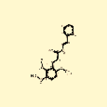 COc1ccc(OC)c(OC)c1CCC(=O)OC=Cc1ccccc1